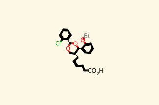 CCOc1ccccc1[C@H]1O[C@@H](c2ccccc2Cl)OC[C@H]1C/C=C\CCC(=O)O